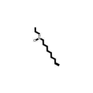 C=CCCCCCCC[SiH](Cl)CCC